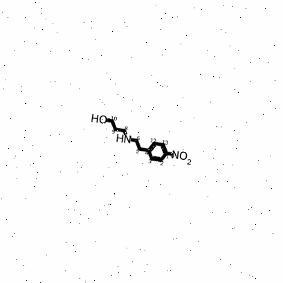 O=[N+]([O-])c1ccc(CCNCCCO)cc1